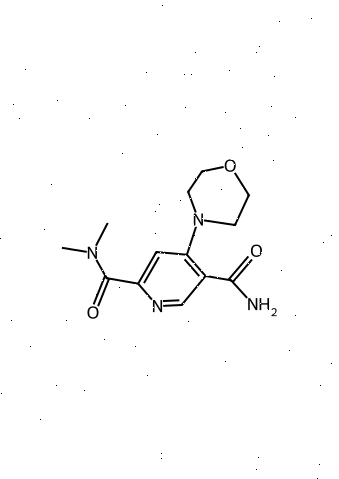 CN(C)C(=O)c1cc(N2CCOCC2)c(C(N)=O)cn1